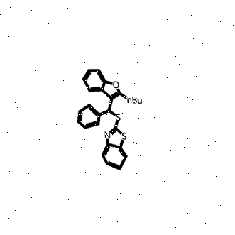 CCCCc1oc2ccccc2c1C(Sc1nc2ccccc2s1)c1ccccc1